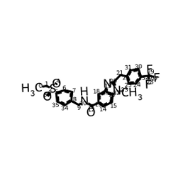 CCS(=O)(=O)c1ccc(CNC(=O)c2ccc3c(c2)nc(Cc2ccc(C(F)(F)F)cc2)n3C)cc1